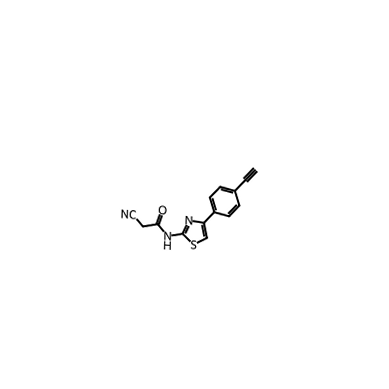 C#Cc1ccc(-c2csc(NC(=O)CC#N)n2)cc1